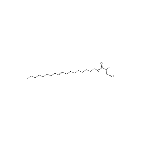 CCCCCCCCC=CCCCCCCCCOC(=O)C(C)CS